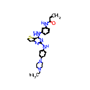 C=CC(=O)Nc1cccc(Nc2nc(Nc3ccc(N4CCN(CC)CC4)cc3)nc3ccsc23)c1